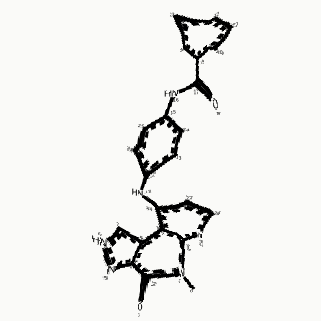 Cn1c(=O)c2n[nH]cc2c2c(Nc3ccc(NC(=O)c4ccccc4)cc3)ccnc21